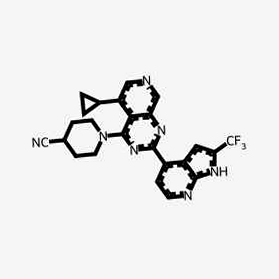 N#CC1CCN(c2nc(-c3ccnc4[nH]c(C(F)(F)F)cc34)nc3cncc(C4CC4)c23)CC1